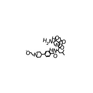 COCCN1CCC(c2ccc(C(=O)NC(CC(C)C)C(=O)N3C[C@H](N)[C@H]4OCC(=O)[C@H]43)cc2)CC1